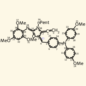 C=C=c1/c(=C\c2ccc(N(c3ccc(OC)cc3)c3ccc(OC)cc3)cc2)oc(=Nc2c(OC)cc(OC)cc2OC)n1CCCCC